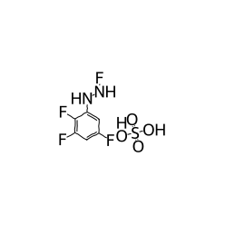 FNNc1cc(F)cc(F)c1F.O=S(=O)(O)O